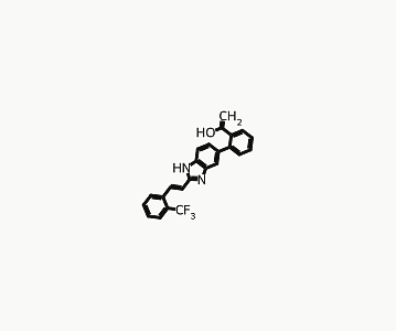 C=C(O)c1ccccc1-c1ccc2[nH]c(/C=C/c3ccccc3C(F)(F)F)nc2c1